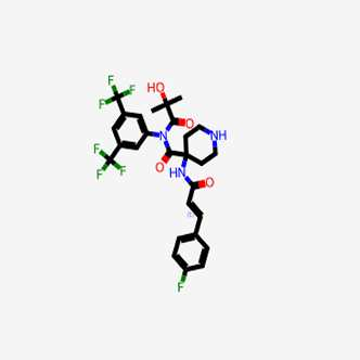 CC(C)(O)C(=O)N(C(=O)C1(NC(=O)/C=C/c2ccc(F)cc2)CCNCC1)c1cc(C(F)(F)F)cc(C(F)(F)F)c1